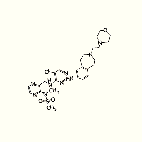 CN(c1nccnc1CNc1nc(Nc2ccc3c(c2)CCN(CCN2CCOCC2)CC3)ncc1Cl)S(C)(=O)=O